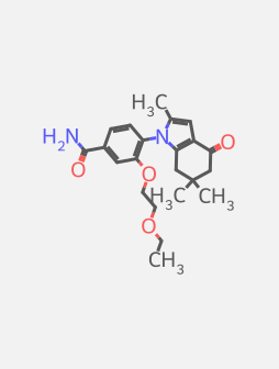 CCOCCOc1cc(C(N)=O)ccc1-n1c(C)cc2c1CC(C)(C)CC2=O